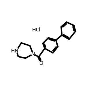 Cl.O=C(c1ccc(-c2ccccc2)cc1)N1CCNCC1